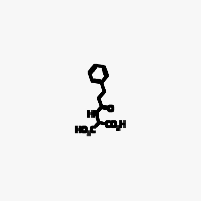 O=C(CCc1ccccc1)NC(C(=O)O)C(=O)O